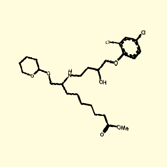 COC(=O)CCCCCCC(COC1CCCCO1)NCCC(O)COc1ccc(Cl)cc1Cl